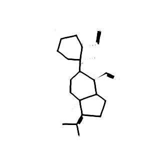 C[C@]12CCC([C@@]3(C)CC[C@H](O)C[C@@H]3C=O)[C@@H](C=O)C1CCC2=C(F)F